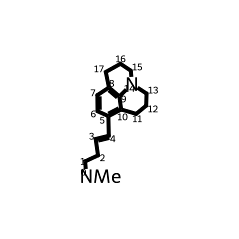 CNCC/C=C/c1ccc2c3c1CCCN3CCC2